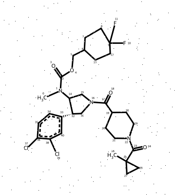 CN(C(=O)OCC1CCC(F)(F)CC1)C1CN(C(=O)C2CCN(C(=O)C3(C)CC3)CC2)C[C@@H]1c1ccc(Cl)c(Cl)c1